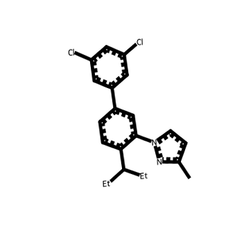 CCC(CC)c1ccc(-c2cc(Cl)cc(Cl)c2)cc1-n1ccc(C)n1